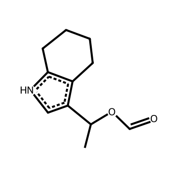 CC(OC=O)c1c[nH]c2c1CCCC2